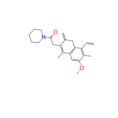 C=Cc1c(C)c(OC)cc2c1CC(=C)C(CC(=O)N1CCCCC1)=C2C